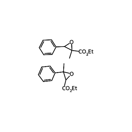 CCOC(=O)C1(C)OC1c1ccccc1.CCOC(=O)C1OC1(C)c1ccccc1